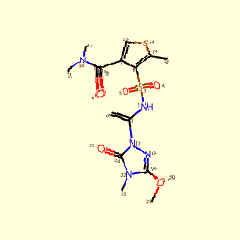 C=C(NS(=O)(=O)c1c(C(=O)N(C)C)csc1C)n1nc(OC)n(C)c1=O